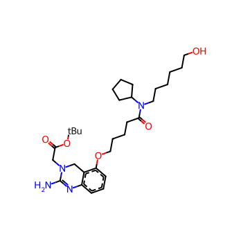 CC(C)(C)OC(=O)CN1Cc2c(cccc2OCCCCC(=O)N(CCCCCCO)C2CCCC2)N=C1N